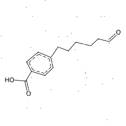 O=[C]CCCCCc1ccc(C(=O)O)cc1